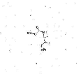 CCCSC(=O)C(C)(C)NC(=O)OC(C)(C)C